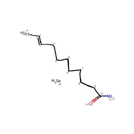 CCCCCCCCC=CCCCCCCCC(N)=O.[SeH2]